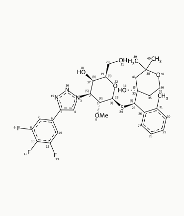 CO[C@@H]1[C@@H](n2cc(-c3cc(F)c(F)c(F)c3)nn2)[C@@H](O)[C@@H](CO)O[C@H]1S[C@H](c1ccccc1C)[C@]1(O)CCOC(C)(C)C1